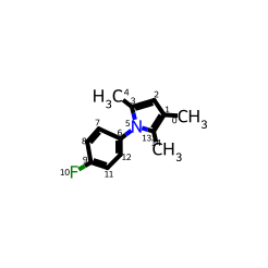 Cc1cc(C)n(-c2ccc(F)cc2)c1C